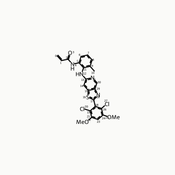 C=CC(=O)Nc1cccc(C)c1Nc1cc2sc(-c3c(Cl)c(OC)cc(OC)c3Cl)nc2cn1